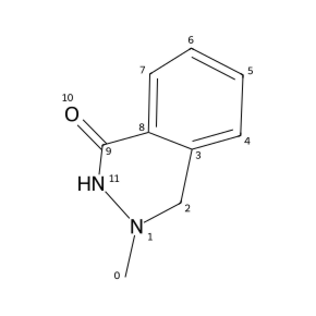 CN1Cc2ccccc2C(=O)N1